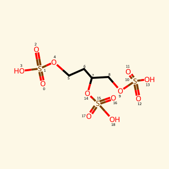 O=S(=O)(O)OCCC(COS(=O)(=O)O)OS(=O)(=O)O